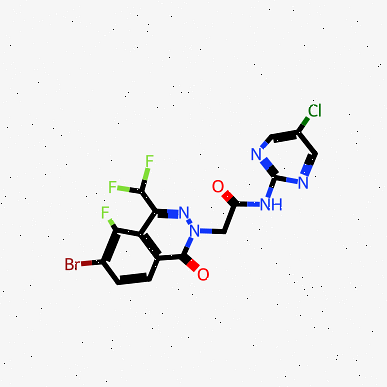 O=C(Cn1nc(C(F)F)c2c(F)c(Br)ccc2c1=O)Nc1ncc(Cl)cn1